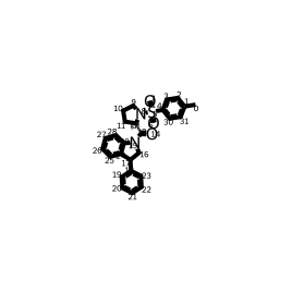 Cc1ccc(S(=O)(=O)N2CCC[C@H]2C(=O)N2CC(c3ccccc3)c3ccccc32)cc1